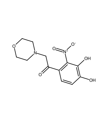 O=C(CN1CCOCC1)c1ccc(O)c(O)c1[N+](=O)[O-]